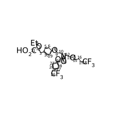 CCOC(Cc1ccc(OCCN(CCOCCCC(F)(F)F)C(=O)Oc2ccc(C(F)(F)F)cc2)cc1)C(=O)O